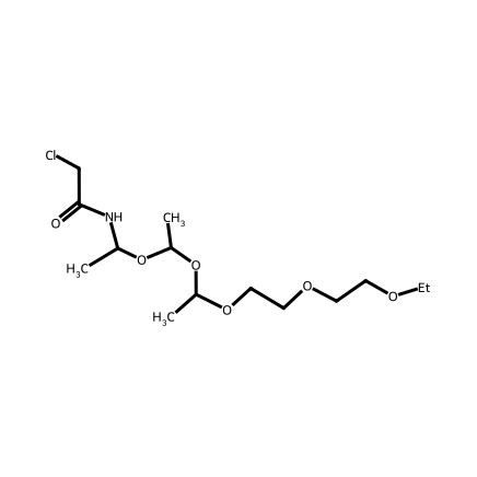 CCOCCOCCOC(C)OC(C)OC(C)NC(=O)CCl